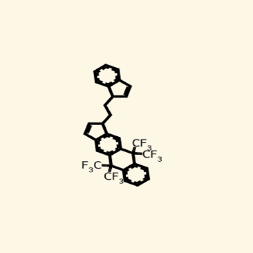 FC(F)(F)C1(C(F)(F)F)c2ccccc2C(C(F)(F)F)(C(F)(F)F)c2cc3c(cc21)C=CC3CCC1C=Cc2ccccc21